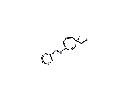 CC1(CBr)C=CC=C(/N=N/c2ccccc2)C=C1